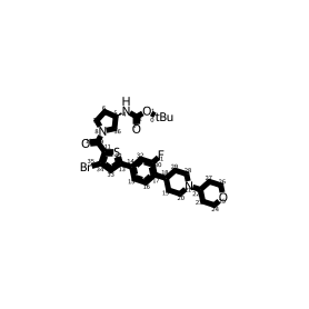 CC(C)(C)OC(=O)N[C@H]1CCN(C(=O)c2sc(-c3ccc(C4CCN(C5CCOCC5)CC4)c(F)c3)cc2Br)C1